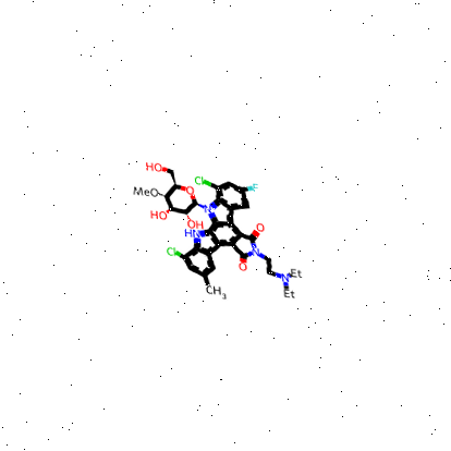 CCN(CC)CCN1C(=O)c2c(c3c4cc(F)cc(Cl)c4n([C@@H]4O[C@H](CO)[C@@H](OC)[C@H](O)[C@H]4O)c3c3[nH]c4c(Cl)cc(C)cc4c23)C1=O